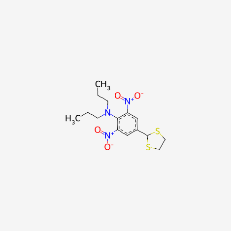 CCCN(CCC)c1c([N+](=O)[O-])cc(C2SCCS2)cc1[N+](=O)[O-]